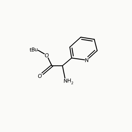 CC(C)(C)OC(=O)C(N)c1ccccn1